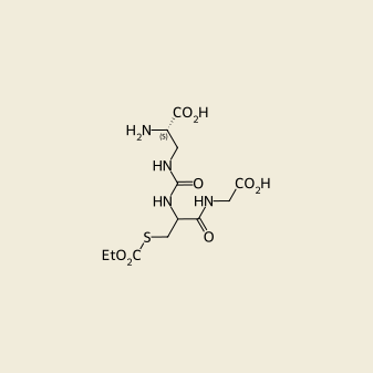 CCOC(=O)SCC(NC(=O)NC[C@H](N)C(=O)O)C(=O)NCC(=O)O